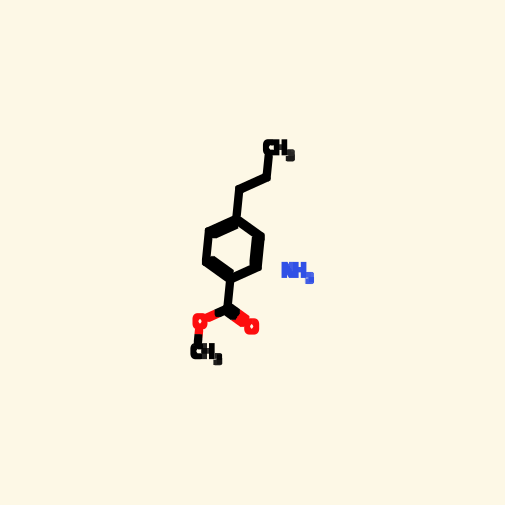 CCCc1ccc(C(=O)OC)cc1.N